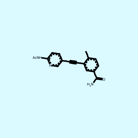 CC(=O)Nc1ccc(C#Cc2cc(C(N)=O)ccc2C)cn1